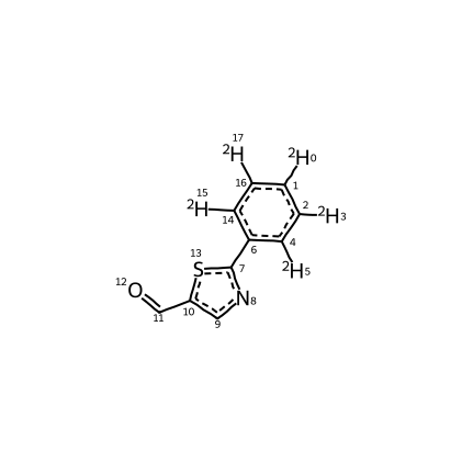 [2H]c1c([2H])c([2H])c(-c2ncc(C=O)s2)c([2H])c1[2H]